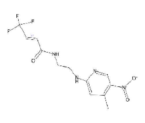 Cc1cc(NCCNC(=O)/C=C/C(F)(F)F)ncc1[N+](=O)[O-]